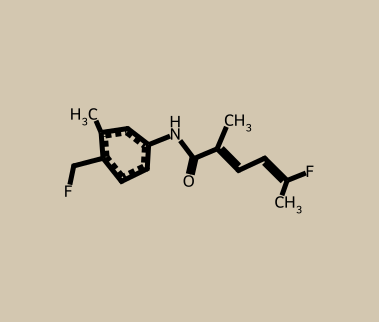 C/C(F)=C\C=C(/C)C(=O)Nc1ccc(CF)c(C)c1